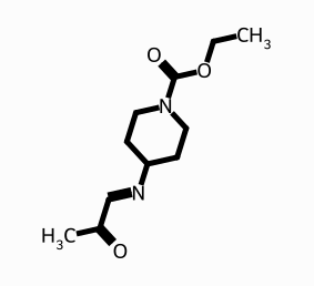 CCOC(=O)N1CCC(N=CC(C)=O)CC1